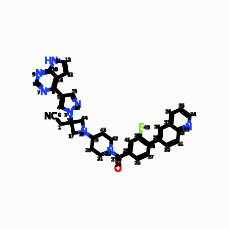 N#CCC1(n2cc(-c3ncnc4[nH]ccc34)cn2)CN(C2CCN(C(=O)c3ccc(-c4ccc5ncccc5c4)c(F)c3)CC2)C1